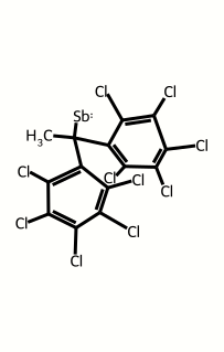 C[C]([Sb])(c1c(Cl)c(Cl)c(Cl)c(Cl)c1Cl)c1c(Cl)c(Cl)c(Cl)c(Cl)c1Cl